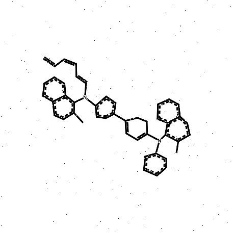 C=C/C=C\C=C\N(c1ccc(C2=CC=C(N(c3ccccc3)c3c(C)ccc4ccccc34)CC2)cc1)c1c(C)ccc2ccccc12